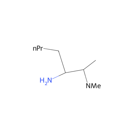 CCCCC(N)C(C)NC